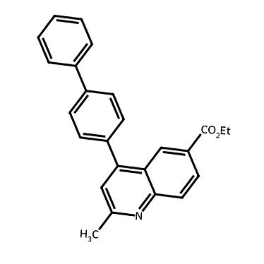 CCOC(=O)c1ccc2nc(C)cc(-c3ccc(-c4ccccc4)cc3)c2c1